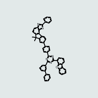 CC1(C)c2cc(-c3ccc(-c4nc(-c5cccc(-c6ccccc6)c5)nc(-c5cccc6c5oc5ccccc56)n4)cc3)ccc2-c2c1ccc1nc(-c3ccccc3)sc21